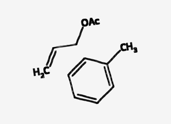 C=CCOC(C)=O.Cc1ccccc1